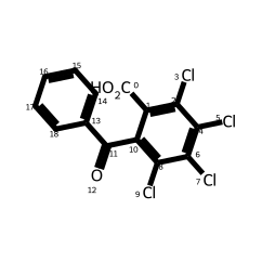 O=C(O)c1c(Cl)c(Cl)c(Cl)c(Cl)c1C(=O)c1ccccc1